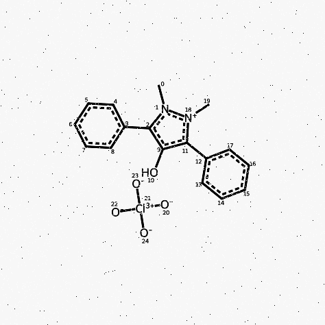 Cn1c(-c2ccccc2)c(O)c(-c2ccccc2)[n+]1C.[O-][Cl+3]([O-])([O-])[O-]